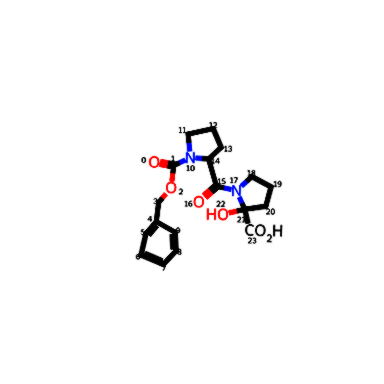 O=C(OCc1ccccc1)N1CCCC1C(=O)N1CCCC1(O)C(=O)O